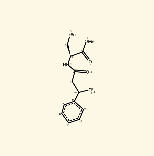 COC(=O)[C@H](CC(C)(C)C)NC(=O)CC(c1ccccc1)C(F)(F)F